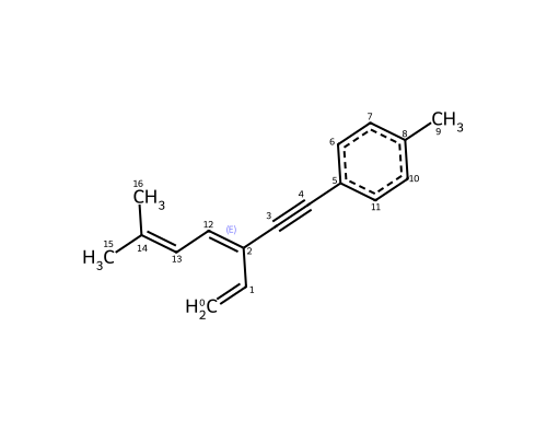 C=C/C(C#Cc1ccc(C)cc1)=C\C=C(C)C